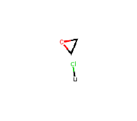 C1CO1.[Li][Cl]